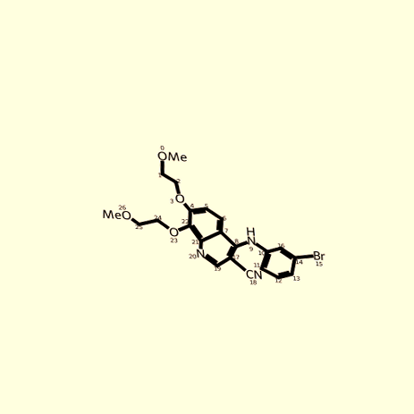 COCCOc1ccc2c(Nc3cccc(Br)c3)c(C#N)cnc2c1OCCOC